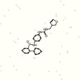 O=C(NCC1C=COC1)Nc1ccc(N[S+]([O-])c2ccccc2-c2ccccc2)cc1